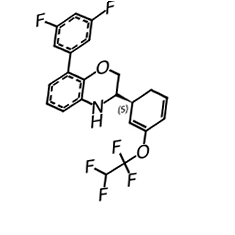 Fc1cc(F)cc(-c2cccc3c2OCC([C@@H]2C=C(OC(F)(F)C(F)F)C=CC2)N3)c1